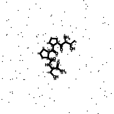 C[C@@H](O)[C@H](N)C(=O)N1CCCC1C(=O)N1CCCC1C(=O)NC(CO)C(N)=O